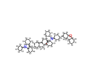 CC1(C)c2ccc(-c3ccccc3N(c3ccccc3)c3ccc(-c4ccc5oc6ccccc6c5c4)cc3)cc2-c2ccc(-c3cccc4c3c3ccccc3n4-c3ccccc3)cc21